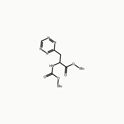 CC(C)(C)OC(=O)NC(Cc1nncnn1)C(=O)OC(C)(C)C